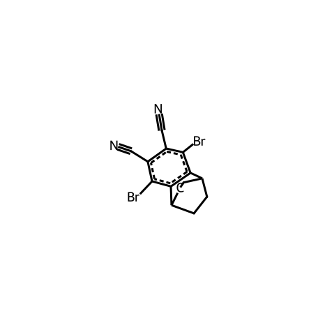 N#Cc1c(Br)c2c(c(Br)c1C#N)C1CCC2CC1